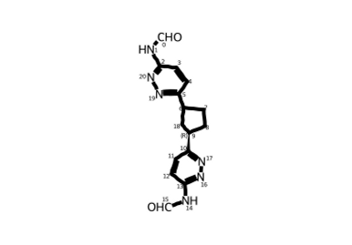 O=CNc1ccc(C2CC[C@@H](c3ccc(NC=O)nn3)C2)nn1